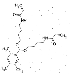 C=CC(=O)NCCCCOC(OCCCCNC(=O)C=C)c1cc(C)c(C)cc1C